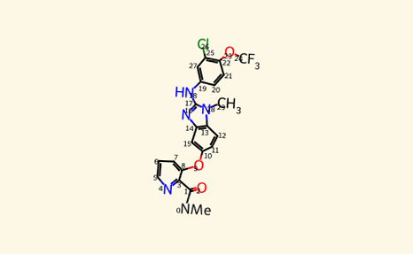 CNC(=O)c1ncccc1Oc1ccc2c(c1)nc(Nc1ccc(OC(F)(F)F)c(Cl)c1)n2C